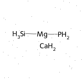 [CaH2].[SiH3][Mg][PH2]